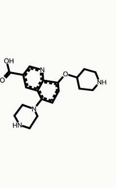 O=C(O)c1cnc2c(OC3CCNCC3)ccc(N3CCNCC3)c2c1